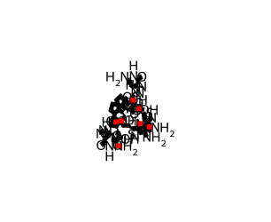 Nc1nc2c(nnn2[C@@H]2OC(C3CCC4(CCC5(O[C@@H](n6nnc7c(=O)[nH]c(N)nc76)[C@H](O[PH](=O)O)[C@@H]5O)C4C[C@H]4O[C@@H](c5snc6c(N)ncnc56)C[C@@H]4O)C3C[C@H]3O[C@@H](c4snc5c(N)ncnc45)C[C@@H]3O)[C@@H](O)[C@H]2CO[PH](=O)O)c(=O)[nH]1